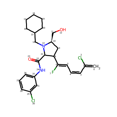 C=C(Cl)/C=C\C=C(/F)C1C[C@H](CO)N(CC2CCCCC2)C1C(=O)Nc1cccc(Cl)c1